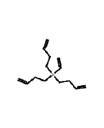 C=CCC[Si](C=C)(CCC=C)CCC=C